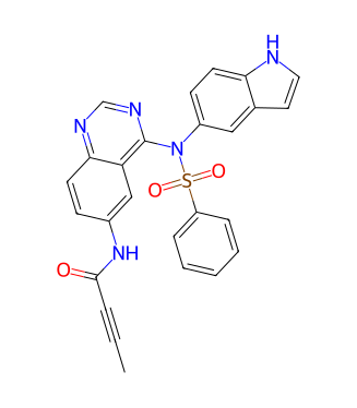 CC#CC(=O)Nc1ccc2ncnc(N(c3ccc4[nH]ccc4c3)S(=O)(=O)c3ccccc3)c2c1